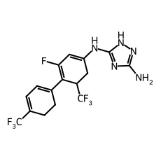 Nc1n[nH]c(NC2=CC(F)=C(C3=CC=C(C(F)(F)F)CC3)C(C(F)(F)F)C2)n1